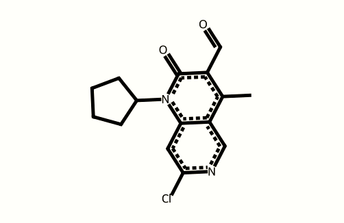 Cc1c(C=O)c(=O)n(C2CCCC2)c2cc(Cl)ncc12